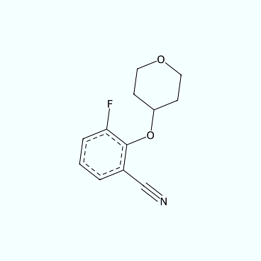 N#Cc1cccc(F)c1OC1CCOCC1